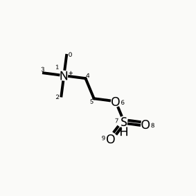 C[N+](C)(C)CCO[SH](=O)=O